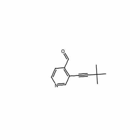 CC(C)(C)C#Cc1cnccc1C=O